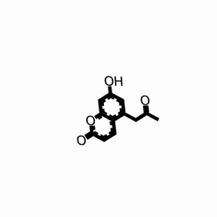 CC(=O)Cc1cc(O)cc2oc(=O)ccc12